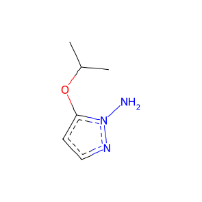 CC(C)Oc1ccnn1N